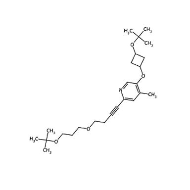 Cc1cc(C#CCCOCCCOC(C)(C)C)ncc1OC1CC(OC(C)(C)C)C1